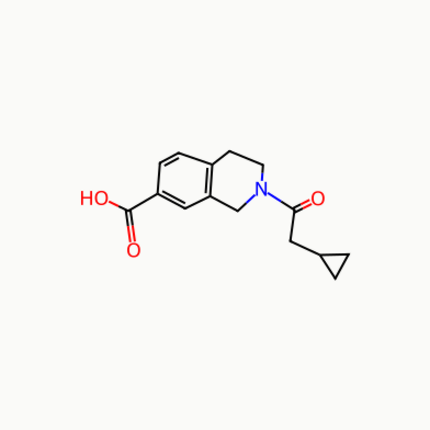 O=C(O)c1ccc2c(c1)CN(C(=O)CC1CC1)CC2